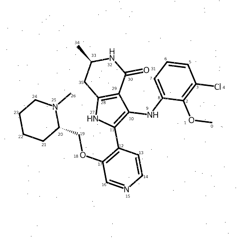 COc1c(Cl)cccc1Nc1c(-c2ccncc2OC[C@@H]2CCCCN2C)[nH]c2c1C(=O)N[C@H](C)C2